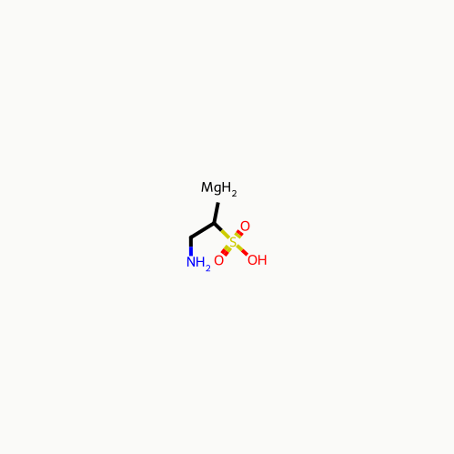 CC(CN)S(=O)(=O)O.[MgH2]